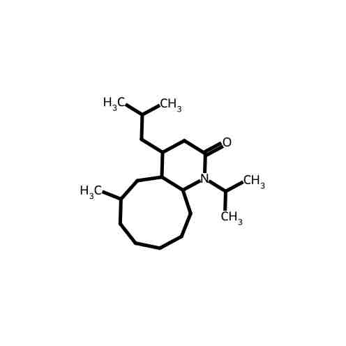 CC(C)CC1CC(=O)N(C(C)C)C2CCCCCC(C)CC12